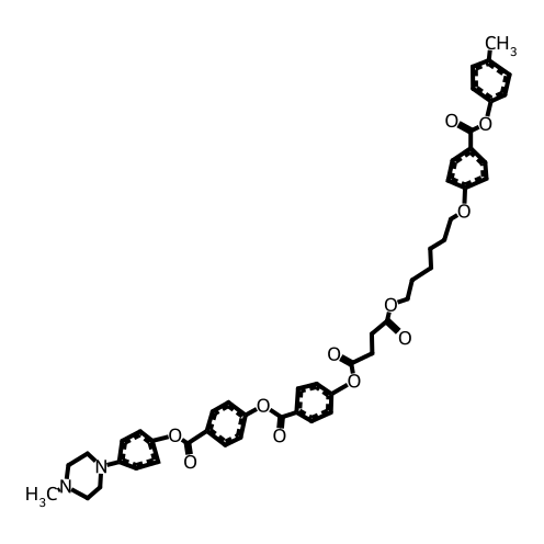 Cc1ccc(OC(=O)c2ccc(OCCCCCCOC(=O)CCC(=O)Oc3ccc(C(=O)Oc4ccc(C(=O)Oc5ccc(N6CCN(C)CC6)cc5)cc4)cc3)cc2)cc1